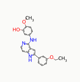 CCOc1cccc(-c2cc3c(Nc4ccc(OC)c(O)c4)nccc3[nH]2)c1